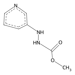 COC(=O)NNc1cccnc1